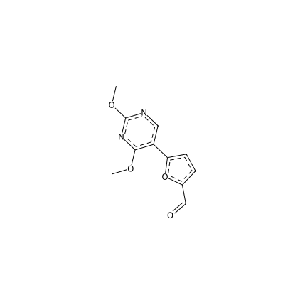 COc1ncc(-c2ccc(C=O)o2)c(OC)n1